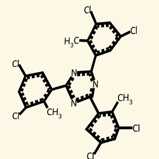 Cc1c(Cl)cc(Cl)cc1-c1nc(-c2cc(Cl)cc(Cl)c2C)nc(-c2cc(Cl)cc(Cl)c2C)n1